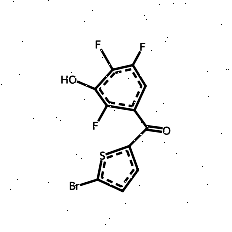 O=C(c1ccc(Br)s1)c1cc(F)c(F)c(O)c1F